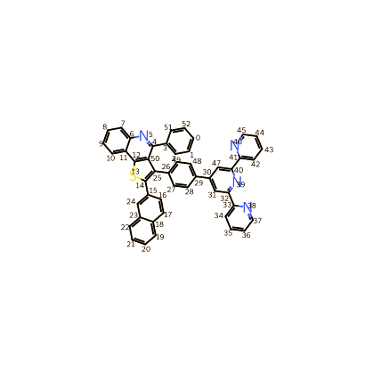 c1ccc(-c2nc3ccccc3c3sc(-c4ccc5ccccc5c4)c(-c4ccc(-c5cc(-c6ccccn6)nc(-c6ccccn6)c5)cc4)c23)cc1